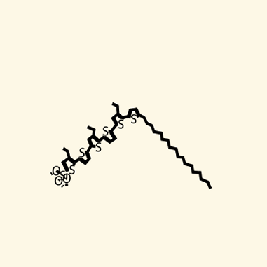 CCCCCCCCCCCCCCCCCCc1ccc(-c2sc(-c3ccc(-c4sc(-c5ccc(-c6sc([Si](OC)(OC)OC)cc6CC)s5)cc4CC)s3)cc2CC)s1